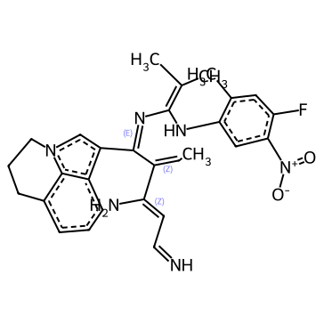 C/C=C(C(/N)=C/C=N)\C(=N/C(Nc1cc([N+](=O)[O-])c(F)cc1C)=C(C)C)c1cn2c3c(cccc13)CCC2